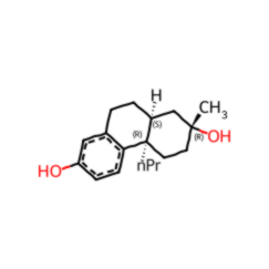 CCC[C@@]12CC[C@@](C)(O)C[C@@H]1CCc1cc(O)ccc12